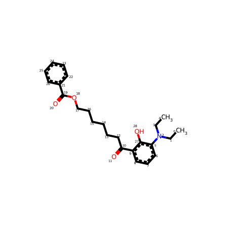 CCN(CC)c1cccc(C(=O)CCCCCCOC(=O)c2ccccc2)c1O